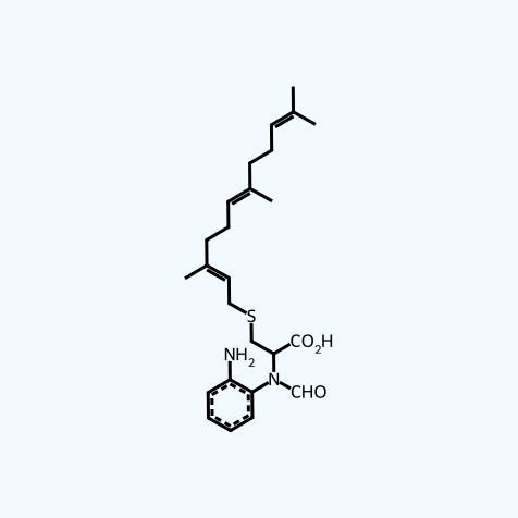 CC(C)=CCC/C(C)=C/CC/C(C)=C/CSCC(C(=O)O)N(C=O)c1ccccc1N